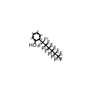 Oc1ccccc1C(F)(F)C(F)(F)C(F)(F)C(F)(F)C(F)(F)C(F)(F)F